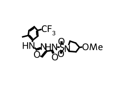 COC1CCN(S(=O)(=O)NC(=O)c2coc(Nc3cc(C(F)(F)F)ccc3C)n2)CC1